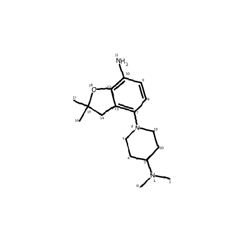 CN(C)C1CCN(c2ccc(N)c3c2CC(C)(C)O3)CC1